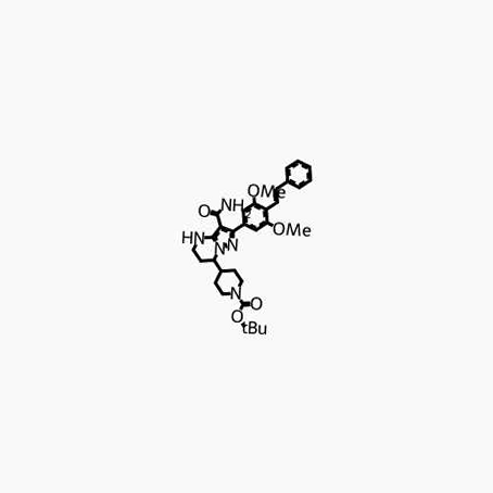 COc1cc(-c2nn3c(c2C(N)=O)NCCC3C2CCN(C(=O)OC(C)(C)C)CC2)cc(OC)c1/C=C/c1ccccc1